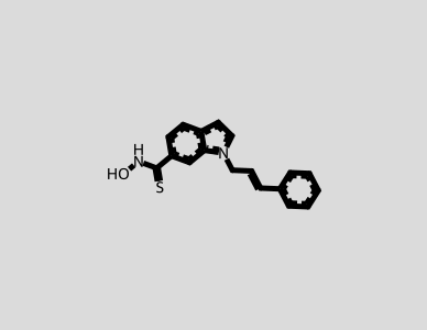 ONC(=S)c1ccc2ccn(CC=Cc3ccccc3)c2c1